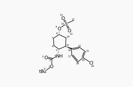 CC(C)(C)OC(=O)N[C@@H]1CC[C@H](OS(C)(=O)=O)C[C@H]1c1ccc(Cl)cc1